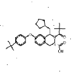 CC(C)(C)C(=O)N1C(CC2CCCC2)c2cc(Oc3ccc(C(C)(C)C)cc3)ccc2C[C@H]1C(=O)O